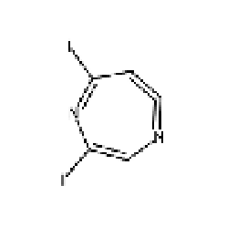 IC1=CN=C=CC(I)=N1